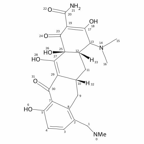 CNCc1ccc(O)c2c1C[C@H]1C[C@H]3C(N(C)C)C(O)=C(C(N)=O)C(=O)[C@@]3(O)C(O)=C1C2=O